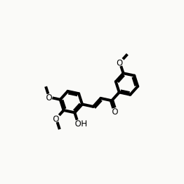 COc1cccc(C(=O)C=Cc2ccc(OC)c(OC)c2O)c1